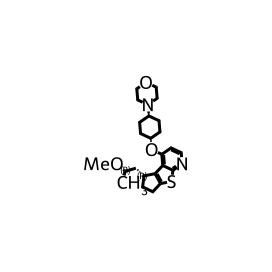 CO[C@H](C)C[C@H]1CCc2sc3nccc(O[C@H]4CC[C@H](N5CCOCC5)CC4)c3c21